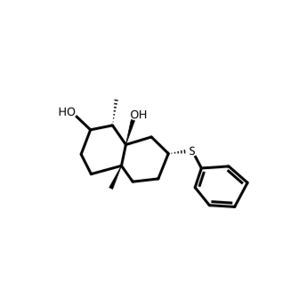 C[C@H]1C(O)CC[C@@]2(C)CC[C@@H](Sc3ccccc3)C[C@@]12O